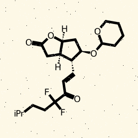 CC(C)CCC(F)(F)C(=O)C=C[C@@H]1[C@H]2CC(=O)O[C@H]2C[C@H]1OC1CCCCO1